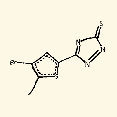 Cc1sc(C2=NC(=S)N=N2)cc1Br